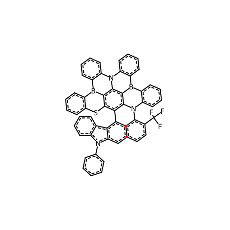 FC(F)(F)c1ccccc1N1c2ccccc2B2c3ccccc3N3c4ccccc4B4c5ccccc5Sc5c4c3c2c1c5-c1cccc2c1c1ccccc1n2-c1ccccc1